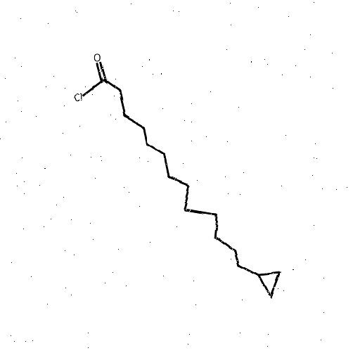 O=C(Cl)CCCCCCCCCCCCC1CC1